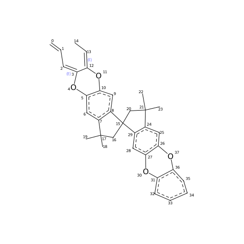 C=C/C=C1/Oc2cc3c(cc2O/C1=C/C)C1(CC3(C)C)CC(C)(C)c2cc3c(cc21)Oc1ccccc1O3